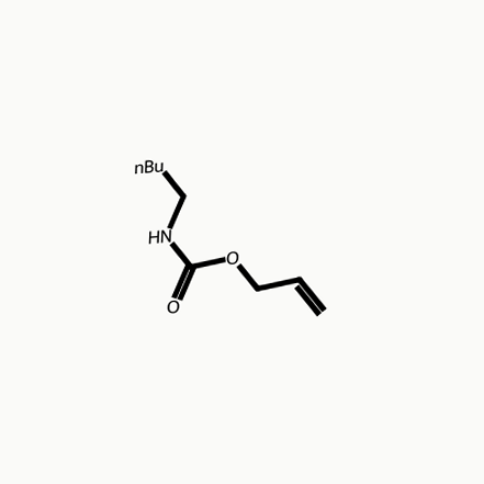 C=CCOC(=O)NCCCCC